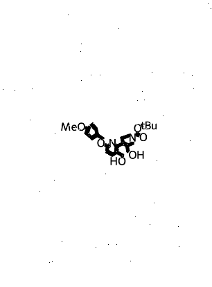 COc1ccc(COc2ccc(CO)c(C3=C(CO)CN(C(=O)OC(C)(C)C)CC3)n2)cc1